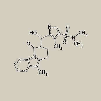 Cc1c2n(c3ccccc13)C(=O)C(C(O)c1ncn(S(=O)(=O)N(C)C)c1C)CC2